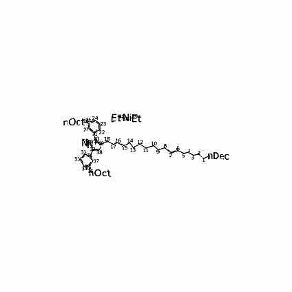 CCCCCCCCCCCCCCCCCCCCCCCCCCCCC1=C(c2cccc(CCCCCCCC)c2)[N+](=[N-])C(c2cccc(CCCCCCCC)c2)=C1.C[CH2][Ni][CH2]C